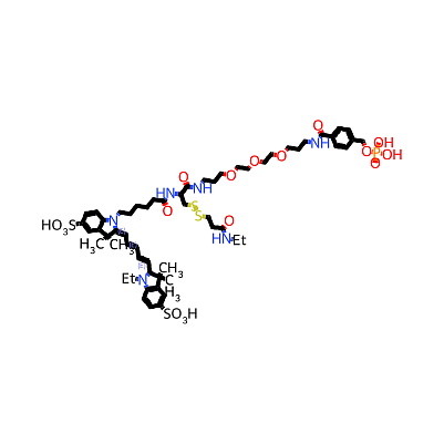 CCNC(=O)CCSSCC(NC(=O)CCCCCN1/C(=C/C=C/C=C/C2N(CC)c3ccc(S(=O)(=O)O)cc3C2(C)C)C(C)(C)C2C=C(S(=O)(=O)O)C=CC21)C(=O)NCCCOCCOCCOCCCNC(=O)c1ccc(COP(=O)(O)O)cc1